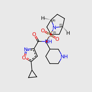 O=C(N[C@@H]1C[C@H]2CC[C@@H](C1)N2S(=O)(=O)CC1CCCNC1)c1cc(C2CC2)on1